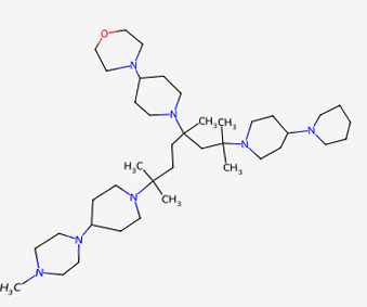 CN1CCN(C2CCN(C(C)(C)CCC(C)(CC(C)(C)N3CCC(N4CCCCC4)CC3)N3CCC(N4CCOCC4)CC3)CC2)CC1